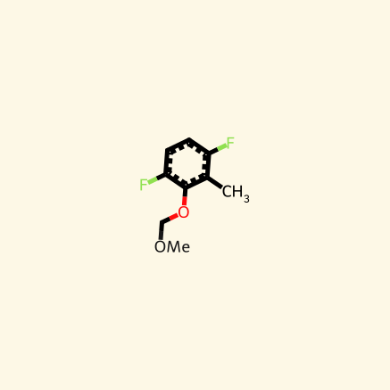 COCOc1c(F)ccc(F)c1C